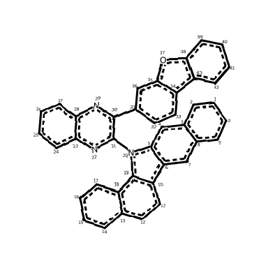 c1ccc2cc3c(cc2c1)c1ccc2ccccc2c1n3-c1nc2ccccc2nc1-c1ccc2c(c1)oc1ccccc12